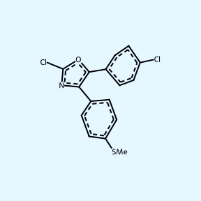 CSc1ccc(-c2nc(Cl)oc2-c2ccc(Cl)cc2)cc1